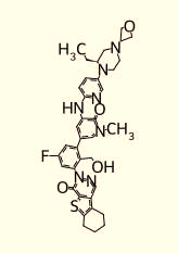 CC[C@H]1CN(C2COC2)CCN1c1ccc(Nc2cc(-c3cc(F)cc(-n4ncc5c6c(sc5c4=O)CCCC6)c3CO)cn(C)c2=O)nc1